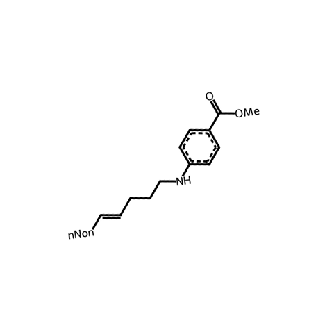 CCCCCCCCCC=CCCCNc1ccc(C(=O)OC)cc1